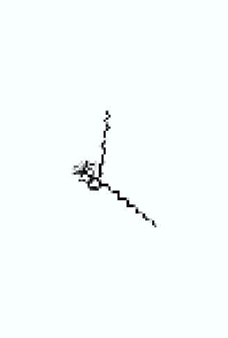 CCCCCCCCCCCCc1cccc(OP(O)(O)=S)c1CCCCCCCCCCCC